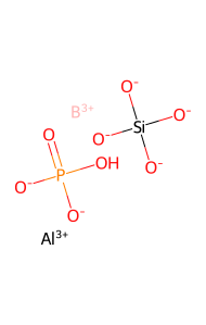 O=P([O-])([O-])O.[Al+3].[B+3].[O-][Si]([O-])([O-])[O-]